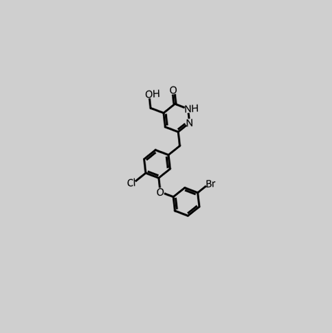 O=c1[nH]nc(Cc2ccc(Cl)c(Oc3cccc(Br)c3)c2)cc1CO